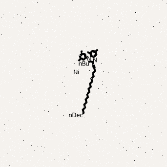 CCCCCCCCCCCCCCCCCCCCCCCCCCCC#CC(=Nc1cc(C)cc(C)c1)C(CCCC)=Nc1cc(C)cc(C)c1.[Ni]